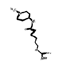 CNC(=N)NCCCCCC(=O)NC1CCN(C)CC1